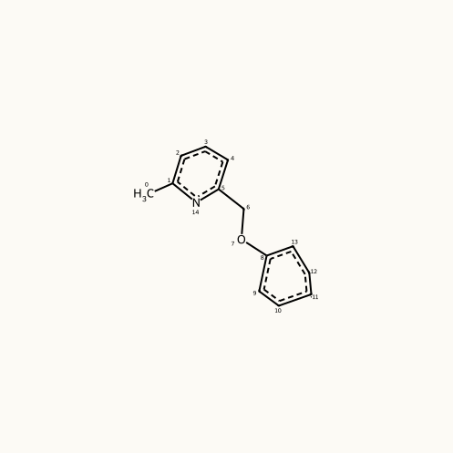 Cc1cccc(COc2cc[c]cc2)n1